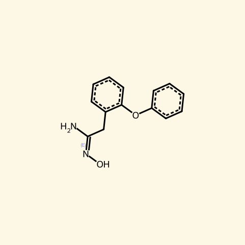 N/C(Cc1ccccc1Oc1ccccc1)=N/O